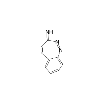 N=c1ccc2ccccc2nn1